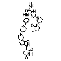 CN1CCN([C@@H]2CCCN(c3cnc(C(N)=O)c(Nc4ccc(N5CCC(N6CCc7ccc8c(C9CCC(=O)NC9=O)noc8c7C6)CC5)cc4)n3)C2)C1=O